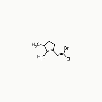 CC1=C(C=C(Cl)Br)CCC1C